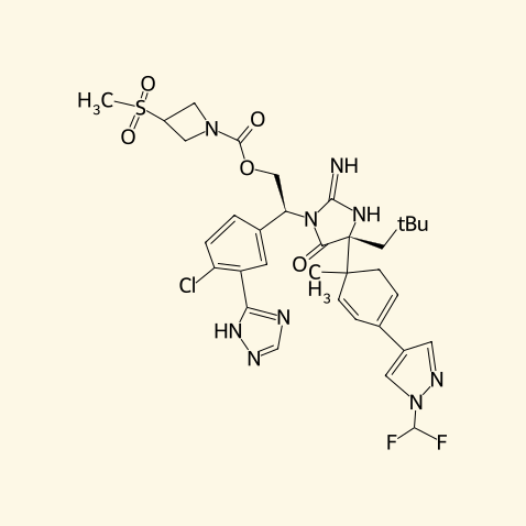 CC(C)(C)C[C@]1(C2(C)C=CC(c3cnn(C(F)F)c3)=CC2)NC(=N)N([C@H](COC(=O)N2CC(S(C)(=O)=O)C2)c2ccc(Cl)c(-c3ncn[nH]3)c2)C1=O